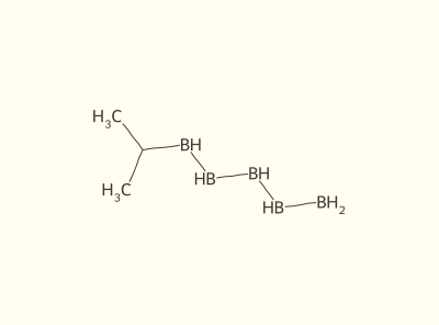 BBBBBC(C)C